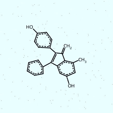 C=C1C(c2ccc(O)cc2)=C(c2ccccc2)c2cc(O)cc(C)c21